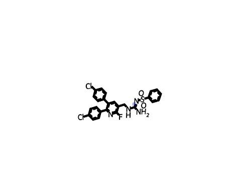 N/C(=N\S(=O)(=O)c1ccccc1)NCc1cc(-c2ccc(Cl)cc2)c(-c2ccc(Cl)cc2)nc1F